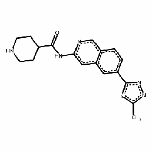 Cc1nnc(-c2ccc3cnc(NC(=O)C4CCNCC4)cc3c2)s1